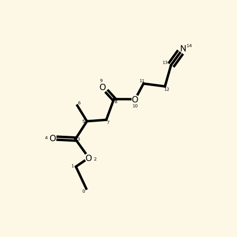 CCOC(=O)C(C)CC(=O)OCCC#N